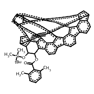 Cc1cccc(C)c1C(=O)OC1c2c3ccc4c5ccc6c7ccc8c9c#cc%10cc%11c(c%10C1O[Si](C)(C)C(C)(C)C)c2c1c3c4c2c5c6c3c7c8c(c9)c4c%11c1c2c43